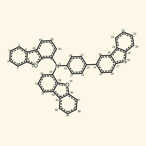 c1ccc2c(c1)oc1c(N(c3ccc(-c4ccc5sc6ccccc6c5c4)cc3)c3cccc4c3oc3ccccc34)cccc12